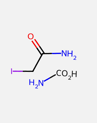 NC(=O)CI.NC(=O)O